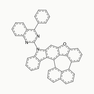 c1ccc(-c2nc(-n3c4ccccc4c4c5c6c(cc43)oc3cccc(c36)-c3cccc4cccc-5c34)nc3ccccc23)cc1